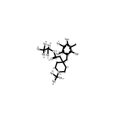 [2H]c1c([2H])c(C)c([2H])c(CC2(CC(=O)OC([2H])([2H])C([2H])([2H])[2H])CCN(C([2H])([2H])[2H])CC2)c1[2H]